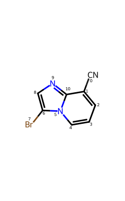 N#Cc1cccn2c(Br)cnc12